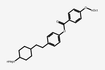 CCCCCCCCOc1ccc(C(=O)Oc2ccc(CCC3CCC(CCCCCCC)CC3)cc2)cc1